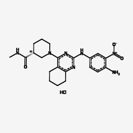 CNC(=O)[C@@H]1CCCN(c2nc(Nc3ccc(N)c([N+](=O)[O-])c3)nc3c2CCCC3)C1.Cl